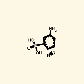 N#N.Nc1cccc(P(=O)(O)O)c1